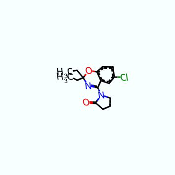 CCC1(CC)N=C(N2CCCC2=O)c2cc(Cl)ccc2O1